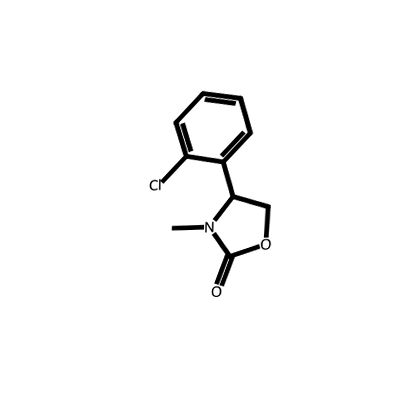 CN1C(=O)OCC1c1ccccc1Cl